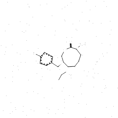 CCC[C@H]1CCC[C@H](N)C(=O)O[C@@H](C)[C@@H]1Cc1ccc(F)cc1